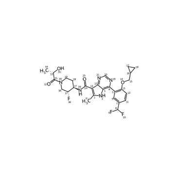 Cc1[nH]c2c(-c3cc(C(F)F)ccc3OCC3CC3)ncnc2c1C(=O)N[C@@H]1CCN(C(=O)[C@H](C)O)C[C@H]1F